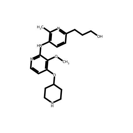 COc1c(OC2CCNCC2)ccnc1Nc1ccc(CCCO)nc1C